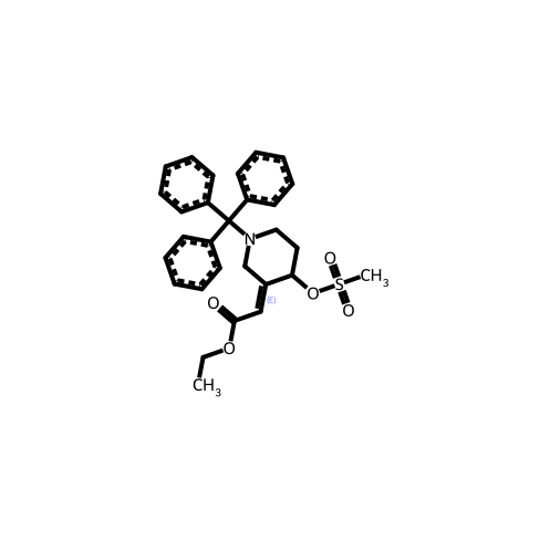 CCOC(=O)/C=C1\CN(C(c2ccccc2)(c2ccccc2)c2ccccc2)CCC1OS(C)(=O)=O